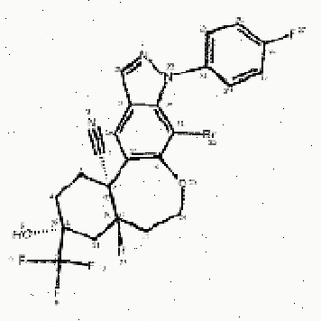 N#C[C@@]12CC[C@](O)(C(F)(F)F)C[C@H]1CCOc1c2cc2cnn(-c3ccc(F)cc3)c2c1Br